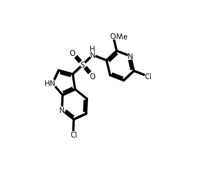 COc1nc(Cl)ccc1NS(=O)(=O)c1c[nH]c2nc(Cl)ccc12